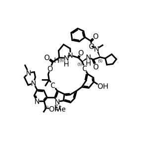 CCn1c(-c2cc(N3CCN(C)CC3)cnc2[C@H](C)OC)c2c3cc(ccc31)-c1cc(O)cc(c1)C[C@H](NC(=O)[C@H](C1CCCC1)N(C)OC(=O)c1ccccc1)C(=O)N1CCC[C@H](N1)C(=O)OCC(C)(C)C2